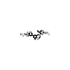 C=Cc1cnc(N)nc1N1CCOc2c(C)cc(-c3cnc4sc(N)nc4c3)cc2C1